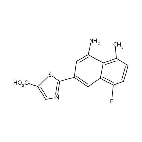 Cc1ccc(F)c2cc(-c3ncc(C(=O)O)s3)cc(N)c12